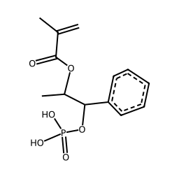 C=C(C)C(=O)OC(C)C(OP(=O)(O)O)c1ccccc1